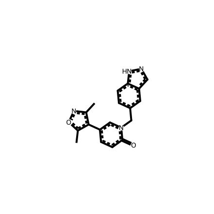 Cc1noc(C)c1-c1ccc(=O)n(Cc2ccc3[nH]ncc3c2)c1